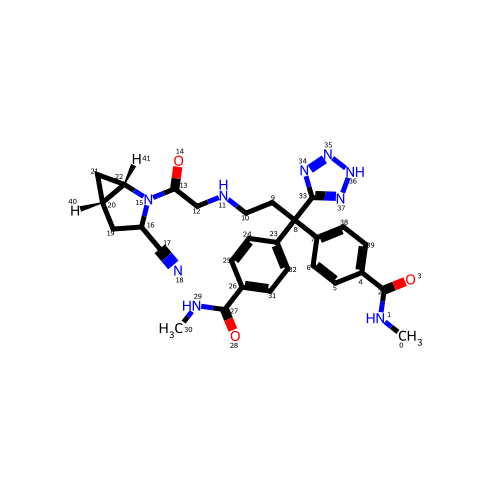 CNC(=O)c1ccc(C(CCNCC(=O)N2C(C#N)C[C@@H]3C[C@@H]32)(c2ccc(C(=O)NC)cc2)c2nn[nH]n2)cc1